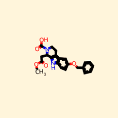 COC(=O)CC1c2[nH]c3ccc(OCc4ccccc4)cc3c2CCN1C(=O)O